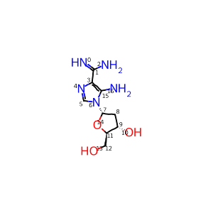 N=C(N)c1ncn([C@@H]2C[C@H](O)[C@@H](CO)O2)c1N